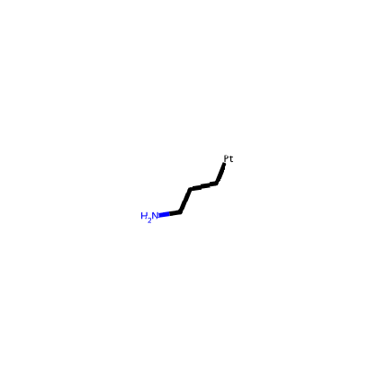 NCC[CH2][Pt]